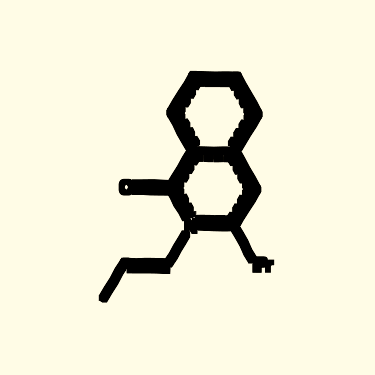 CC=Cn1c(C(C)C)cc2ccccc2c1=O